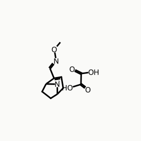 CO/N=C/C1=CCC2CCC1N2C.O=C(O)C(=O)O